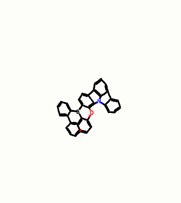 c1ccc(-c2ccccc2B2c3ccccc3Oc3c2ccc2c4cccc5c6ccccc6n(c32)c54)cc1